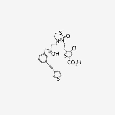 O=C(O)c1cc(Cl)c(CCN2C(=O)SCCN2CC[C@@H](O)Cc2cccc(C#Cc3ccsc3)c2)s1